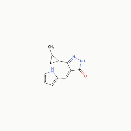 CC1CC1C1=NNC(=O)C1=Cc1ccc[nH]1